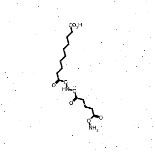 NOC(=O)CCCC(=O)ONOC(=O)CCCCCCCCC(=O)O